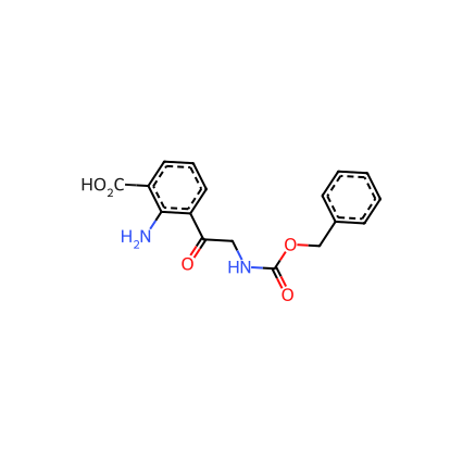 Nc1c(C(=O)O)cccc1C(=O)CNC(=O)OCc1ccccc1